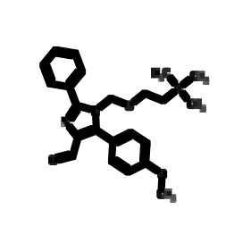 COc1ccc(-c2c(C=O)nc(-c3ccccc3)n2COCC[Si](C)(C)C)cc1